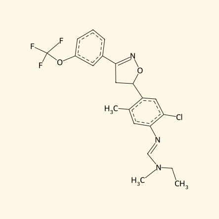 CCN(C)C=Nc1cc(C)c(C2CC(c3cccc(OC(F)(F)F)c3)=NO2)cc1Cl